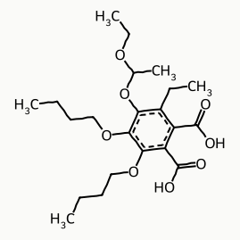 CCCCOc1c(OC(C)OCC)c(CC)c(C(=O)O)c(C(=O)O)c1OCCCC